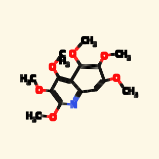 COc1cc2nc(OC)c(OC)c(OC)c2c(OC)c1OC